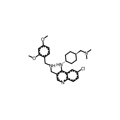 COc1ccc(CNCc2cnc3ccc(Cl)cc3c2N[C@H]2CC[C@H](CN(C)C)CC2)c(OC)c1